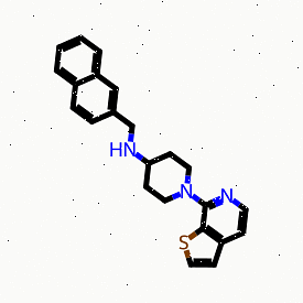 c1ccc2cc(CNC3CCN(c4nccc5ccsc45)CC3)ccc2c1